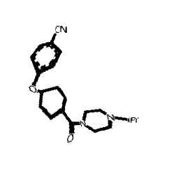 CC(C)N1CCN(C(=O)C2CCC(Oc3ccc(C#N)cc3)CC2)CC1